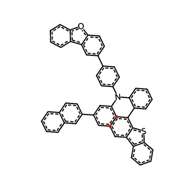 c1cc(-c2ccc3ccccc3c2)cc(N(c2ccc(-c3ccc4oc5ccccc5c4c3)cc2)c2ccccc2-c2cccc3c2sc2ccccc23)c1